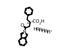 O=C(O)[C@H](CC(=O)n1cc2ccccc2c1)Cc1ccccc1.[H+].[H+].[H+].[H+].[H+].[H+]